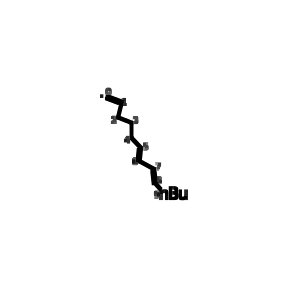 [CH]=CCCCC=CC=CCCCC